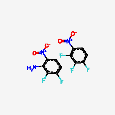 Nc1c([N+](=O)[O-])ccc(F)c1F.O=[N+]([O-])c1ccc(F)c(F)c1F